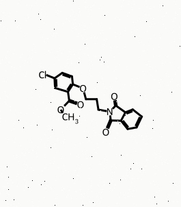 COC(=O)c1cc(Cl)ccc1OCCCN1C(=O)c2ccccc2C1=O